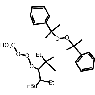 CC(C)(OOC(C)(C)c1ccccc1)c1ccccc1.CCCCC(CC)C(OOOC(=O)O)C(C)(C)CC